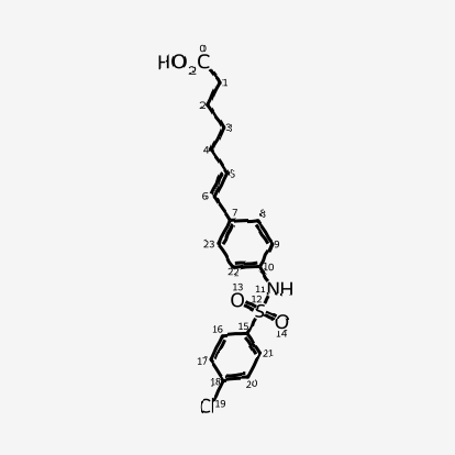 O=C(O)CCCCC=Cc1ccc(NS(=O)(=O)c2ccc(Cl)cc2)cc1